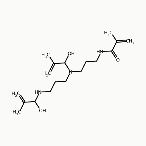 C=C(C)C(=O)NCCCN(CCCNC(O)C(=C)C)C(O)C(=C)C